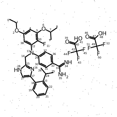 CCOc1cc(OC(C)C)c(F)c(N(Cc2nc(-c3ccccc3C(C)C)c[nH]2)c2ccc(C(=N)N)cc2)c1.O=C(O)C(F)(F)F.O=C(O)C(F)(F)F